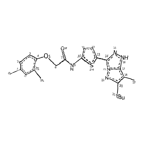 Cc1ccc(OCC(=O)Nc2ccc(-c3n[nH]c4c(C)c(C(C)(C)C)nn34)s2)c(C)c1